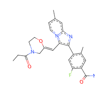 CCC(=O)N1CCO/C(=C\c2c(-c3cc(F)c(C(=O)NC)cc3C)nc3cc(C)ccn23)C1